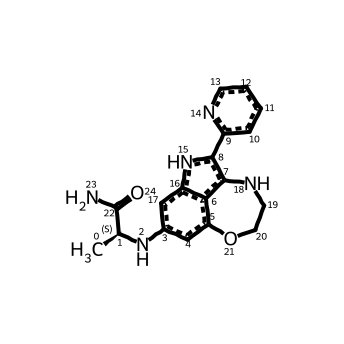 C[C@H](Nc1cc2c3c(c(-c4ccccn4)[nH]c3c1)NCCO2)C(N)=O